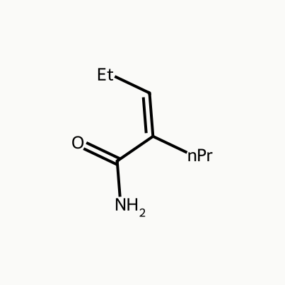 CCC=C(CCC)C(N)=O